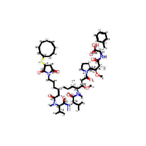 CC[C@H](C)[C@@H]([C@@H](CC(=O)N1CCC[C@H]1[C@H](OC)[C@@H](C)C(=O)N[C@@H](Cc1ccccc1)C(=O)O)OC)N(C)C(=O)[C@@H](NC(=O)C(C(C)C)N(C)C(=O)CCCCCN1C(=O)CC(SC2CCCCCCCC2)C1=O)C(C)C